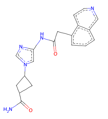 NC(=O)C1CC(n2cnc(NC(=O)Cc3cccc4cnccc34)c2)C1